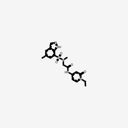 CCn1ccc(NC(=O)CN(C)S(=O)(=O)c2cc(C)cc3cn[nH]c23)cc1=O